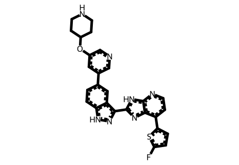 Fc1ccc(-c2ccnc3[nH]c(-c4n[nH]c5ccc(-c6cncc(OC7CCNCC7)c6)cc45)nc23)s1